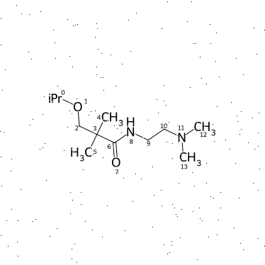 CC(C)OCC(C)(C)C(=O)NCCN(C)C